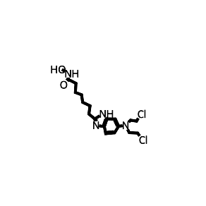 O=C(CCCCCCc1nc2ccc(N(CCCl)CCCl)cc2[nH]1)NO